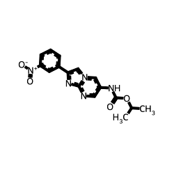 CC(C)OC(=O)Nc1cnc2nc(-c3cccc([N+](=O)[O-])c3)cn2c1